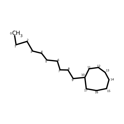 CCCCCCCCCCC1CCCCCCC1